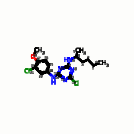 CCCCC(C)Nc1nc(Cl)nc(Nc2ccc(OC)c(Cl)c2)n1